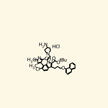 Cc1nn(C)c(C)c1-c1c(Cl)ccc2c(CCCOc3cccc4ccccc34)c(C(=O)OC(C)(C)C)n(CCN3CCC(N)CC3)c12.Cl